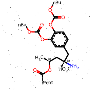 CCCCOC(=O)Oc1ccc(C[C@](N)(C[C@H](C)OC(=O)C(C)CCC)C(=O)O)cc1OC(=O)OCCCC